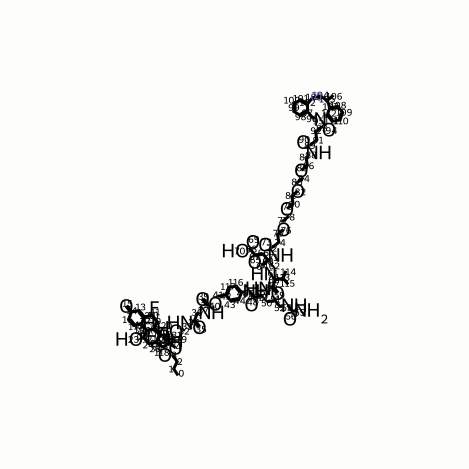 CCCC1O[C@@H]2C[C@H]3[C@@H]4C[C@H](F)C5=CC(=O)C=C[C@]5(C)[C@@]4(F)[C@@H](O)C[C@]3(C)[C@]2(C(=O)COCNC(=O)CNC(=O)OCc2ccc(NC(=O)[C@H](CCCNC(N)=O)NC(=O)[C@@H](NC[C@@](C=O)(CCC(=O)O)NC(=O)CCOCCOCCOCCOCCNC(=O)CCC(=O)N3Cc4ccccc4/C=C\C(C)c4ccccc43)C(C)C)cc2)O1